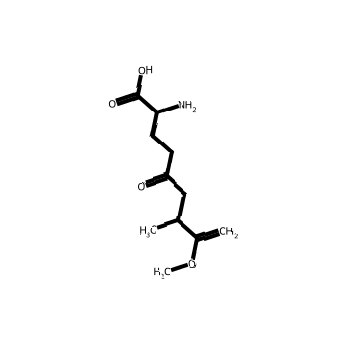 C=C(OC)C(C)CC(=O)CCC(N)C(=O)O